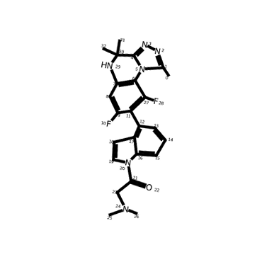 Cc1nnc2n1-c1c(cc(F)c(-c3cccc4c3ccn4C(=O)CN(C)C)c1F)NC2(C)C